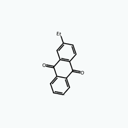 CCc1ccc2c(c1)C(=O)c1cc[c]cc1C2=O